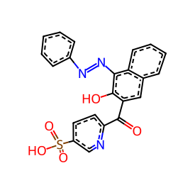 O=C(c1ccc(S(=O)(=O)O)cn1)c1cc2ccccc2c(/N=N/c2ccccc2)c1O